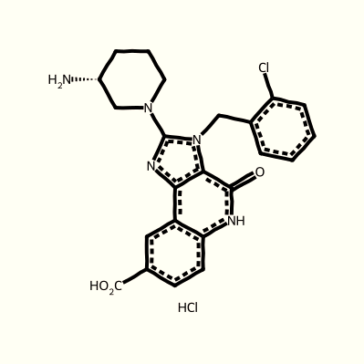 Cl.N[C@@H]1CCCN(c2nc3c4cc(C(=O)O)ccc4[nH]c(=O)c3n2Cc2ccccc2Cl)C1